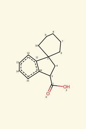 O=C(O)C1CC2(CCCCC2)c2ccccc21